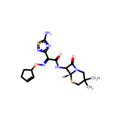 CC1(C(=O)O)CS[C@@H]2C(NC(=O)C(=NOC3C=CCC3)c3nsc(N)n3)C(=O)N2C1